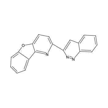 c1ccc2nnc(-c3ccc4oc5ccccc5c4n3)cc2c1